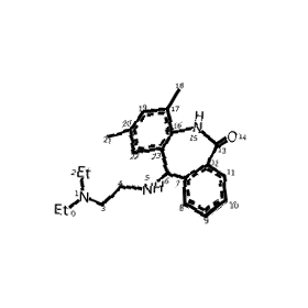 CCN(CC)CCNC1c2ccccc2C(=O)Nc2c(C)cc(C)cc21